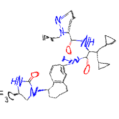 CC(C)n1nccc1C(=O)N[C@H](C(=O)Nc1ccc2c(c1)CCC[C@H]2N1C[C@@H](C(F)(F)F)NC1=O)C(C1CC1)C1CC1